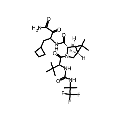 CC(C)(C)C(NC(=O)NC(C)(C)C(F)(F)F)C(=O)N1C[C@H]2[C@@H]([C@H]1C(=O)NC(CC1CCC1)C(=O)C(N)=O)C2(C)C